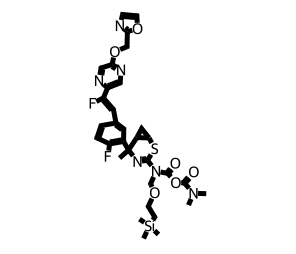 CN(C)C(=O)OC(=O)N(COCC[Si](C)(C)C)C1=NC(C)(c2cc(/C=C(\F)c3cnc(OCc4ncco4)cn3)ccc2F)C2CC2S1